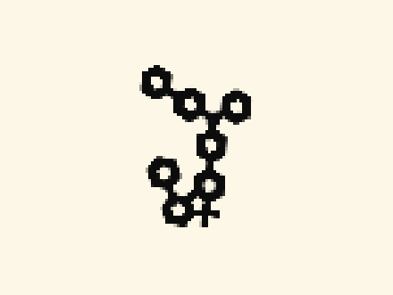 CC1(C)c2ccc(-c3ccc(N(c4ccccc4)c4ccc(-c5ccccc5)cc4)cc3)cc2-c2c(-c3ccccc3)cccc21